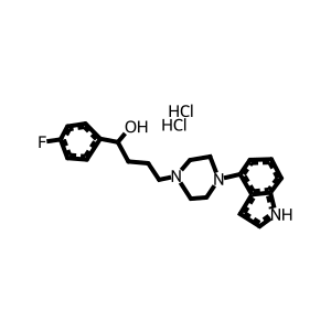 Cl.Cl.OC(CCCN1CCN(c2cccc3[nH]ccc23)CC1)c1ccc(F)cc1